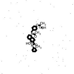 C=C(OO)Oc1ccc(CN(C(C)=O)c2cccc3c(O)c(C(=O)Nc4ccccc4C)ccc23)cc1